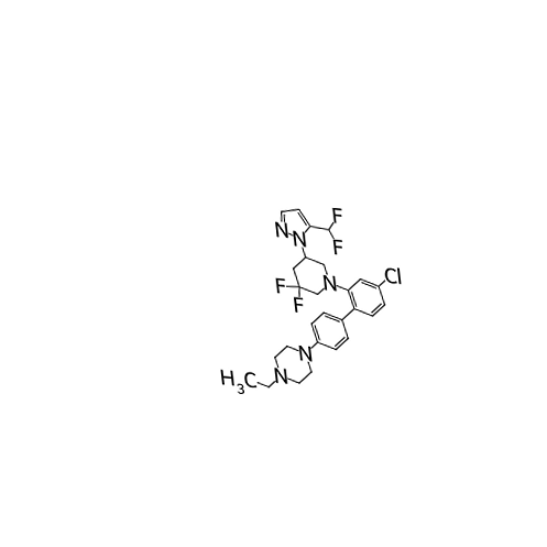 CCN1CCN(c2ccc(-c3ccc(Cl)cc3N3CC(n4nccc4C(F)F)CC(F)(F)C3)cc2)CC1